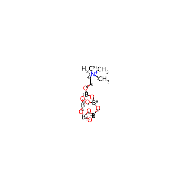 C[N+](C)(C)CCOB1OB2OB(O1)OB1OB(O2)O1